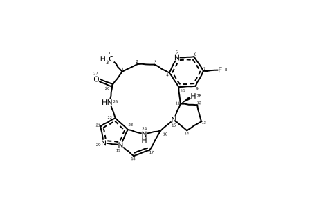 CC1CCc2ncc(F)cc2[C@@H]2CCCN2C2C=Cn3ncc(c3N2)NC1=O